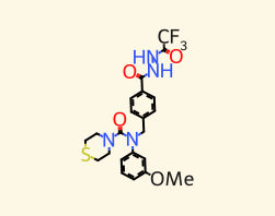 COc1cccc(N(Cc2ccc(C(=O)NNC(=O)C(F)(F)F)cc2)C(=O)N2CCSCC2)c1